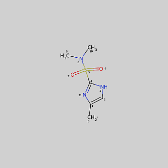 [CH2]c1c[nH]c(S(=O)(=O)N(C)C)n1